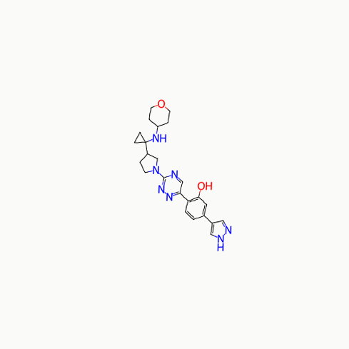 Oc1cc(-c2cn[nH]c2)ccc1-c1cnc(N2CCC(C3(NC4CCOCC4)CC3)C2)nn1